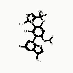 Cc1c(-c2cc(F)cc3c(C)c[nH]c23)c(OC(F)F)cc2c1-n1c(C)nnc1C(C)(C)N2